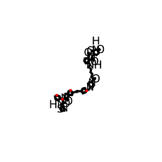 O=C1CCC(N2C(=O)c3cccc(NCCCCCC(=O)N4CCN(Cc5ccc(C#Cc6ccc7c(c6)C(=O)N(C(C(=O)Nc6nccs6)c6ccccc6)C7)cc5)CC4)c3C2=O)C(=O)N1